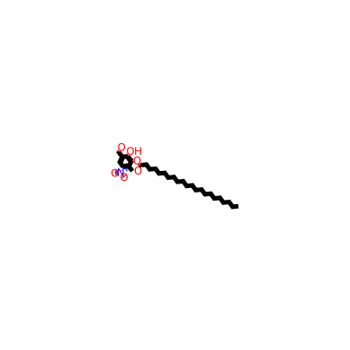 CCCCCCCCCCCCCCCCCCCCCC(=O)Oc1c(C)c([N+](=O)[O-])cc(C=O)c1O